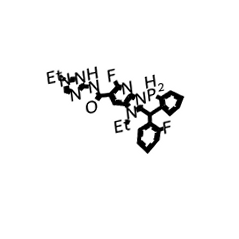 CCn1cnc(NC(=O)c2cc3c(nc2F)nc(C(c2ccccc2F)c2ccccc2P)n3CC)n1